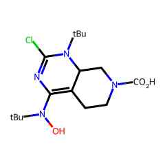 CC(C)(C)N(O)C1=C2CCN(C(=O)O)CC2N(C(C)(C)C)C(Cl)=N1